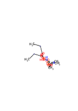 C=c1ccc2c(c1)Oc1cc(N(CC)CC)ccc1C=2c1ccc(S(=O)(=O)NCCOP(=O)(O)OC[C@@H](COC(=O)CCCCCCC/C=C\CCCCCCCC)OC(=O)CCCCCCC/C=C\CCCCCCCC)cc1S(=O)(=O)O